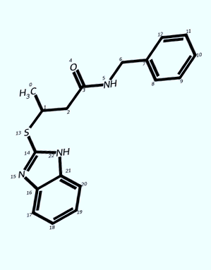 CC(CC(=O)NCc1ccccc1)Sc1nc2ccccc2[nH]1